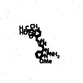 COc1cccc2c(-c3cn(Cc4cccn([C@@H](C)C(C)(C)O)c4=O)nn3)nc(N)nc12